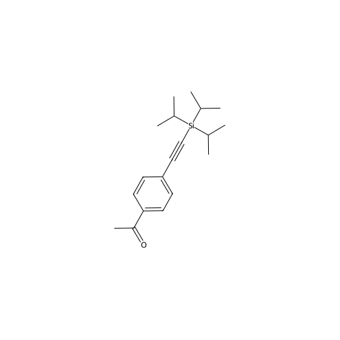 CC(=O)c1ccc(C#C[Si](C(C)C)(C(C)C)C(C)C)cc1